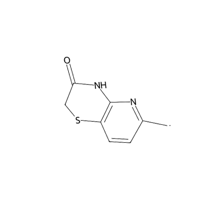 [CH2]c1ccc2c(n1)NC(=O)CS2